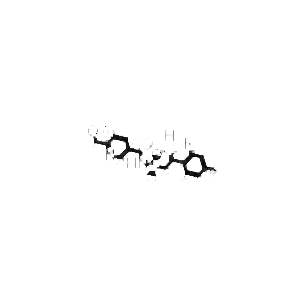 CC(=O)OCc1ccc(C(=O)NS(=O)(=O)CC(O)c2ccc(F)cc2F)cn1